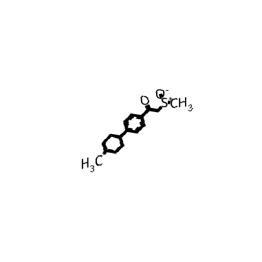 CC1CCC(c2ccc(C(=O)C[S+](C)[O-])cc2)CC1